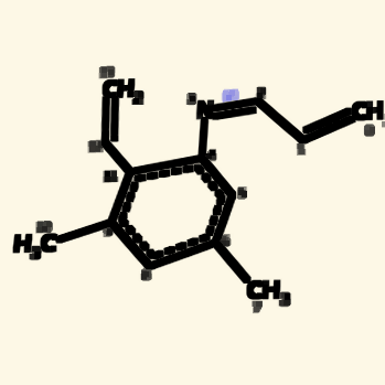 C=C/C=N\c1cc(C)cc(C)c1C=C